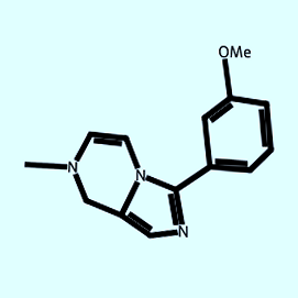 COc1cccc(-c2ncc3n2C=CN(C)C3)c1